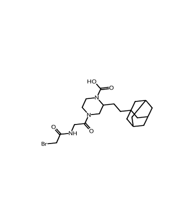 O=C(CBr)NCC(=O)N1CCN(C(=O)O)C(CCC23CC4CC(CC(C4)C2)C3)C1